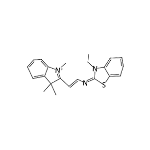 CCn1/c(=N\C=C\C2=[N+](C)c3ccccc3C2(C)C)sc2ccccc21